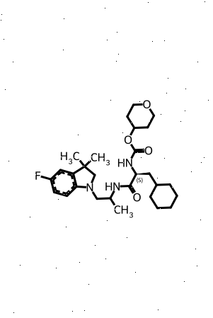 CC(CN1CC(C)(C)c2cc(F)ccc21)NC(=O)[C@H](CC1CCCCC1)NC(=O)OC1CCOCC1